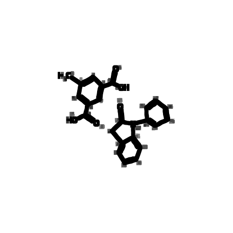 Cc1cc(C(=O)O)cc(C(=O)O)c1.O=C1Cc2ccccc2N1c1ccccc1